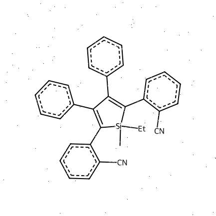 CC[Si]1(C)C(c2ccccc2C#N)=C(c2ccccc2)C(c2ccccc2)=C1c1ccccc1C#N